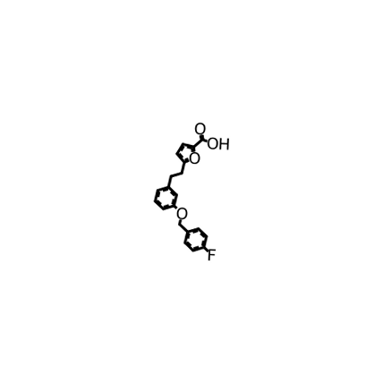 O=C(O)c1ccc(CCc2cccc(OCc3ccc(F)cc3)c2)o1